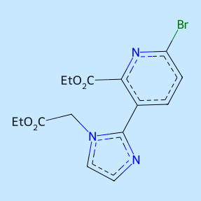 CCOC(=O)Cn1ccnc1-c1ccc(Br)nc1C(=O)OCC